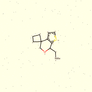 CNCC1OCC2(CCC2)c2ccsc21